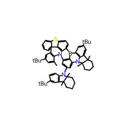 Cc1cc(C(C)(C)C)cc(C)c1N1c2cc(N3c4ccc(C(C)(C)C)cc4C4(C)CCCCC34C)cc3c2B(c2cc(C(C)(C)C)cc4c2N3C2(C)CCCCC42C)c2ccc3sc4ccccc4c3c21